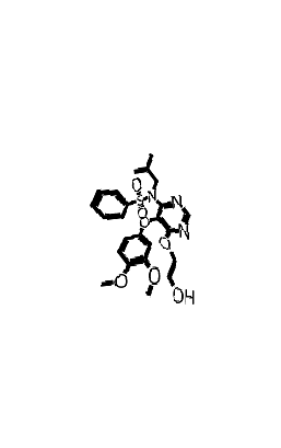 COc1ccc(Oc2c(OCCO)ncnc2N(CC(C)C)S(=O)(=O)c2ccccc2)cc1OC